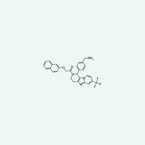 NCc1ccc(C2c3c(nc4cc(C(F)(F)F)ccn34)CCN2C(=O)COc2ccc3ccccc3c2)cc1